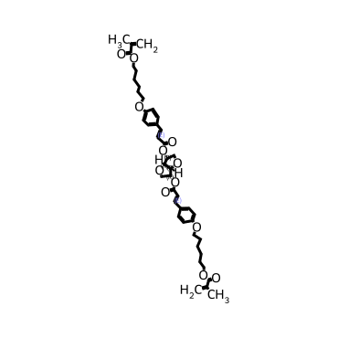 C=C(C)C(=O)OCCCCCCOc1ccc(/C=C/C(=O)O[C@@H]2CO[C@H]3[C@@H]2OC[C@H]3OC(=O)/C=C/c2ccc(OCCCCCCOC(=O)C(=C)C)cc2)cc1